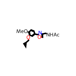 COc1ccc(-c2nc(CNC(C)=O)co2)cc1OCC1CC1